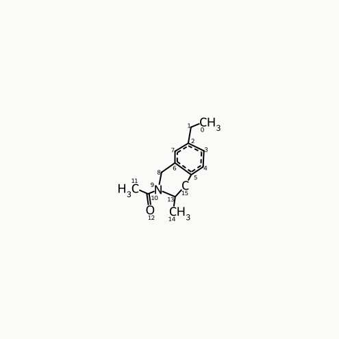 CCc1ccc2c(c1)CN(C(C)=O)C(C)C2